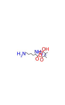 C/C(C(=O)O)=C(\C)C(=O)OC(=O)C(N)CCCCN